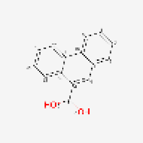 OC(O)c1cc2ccccc2c2ccccc12